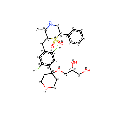 C[C@@H]1NC[C@@H](c2ccccc2)S(=O)(=O)C1Cc1cc(F)c(C2(OC[C@H](O)CO)CCOCC2)cc1F